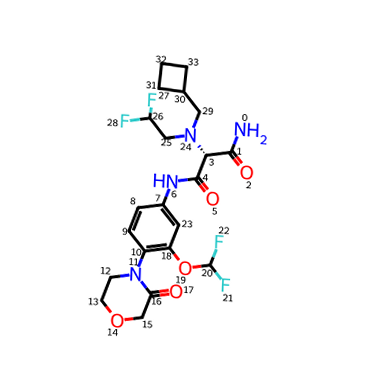 NC(=O)[C@H](C(=O)Nc1ccc(N2CCOCC2=O)c(OC(F)F)c1)N(CC(F)F)CC1CCC1